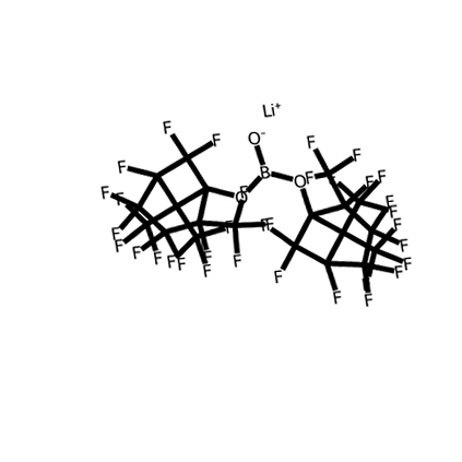 [Li+].[O-]B(OC12C(F)(F)C(F)(C(F)(F)C(F)(F)C1(F)C(F)(F)F)C2(C(F)(F)F)C(F)(F)F)OC12C(F)(F)C(F)(C(F)(F)C(F)(F)C1(F)C(F)(F)F)C2(C(F)(F)F)C(F)(F)F